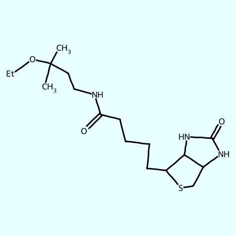 CCOC(C)(C)CCNC(=O)CCCCC1SCC2NC(=O)NC21